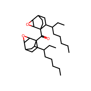 CCCCCC(CC)C1CC2CCC1(C(=O)C13CCC(CC1C(CC)CCCCC)C1OC13)C1OC21